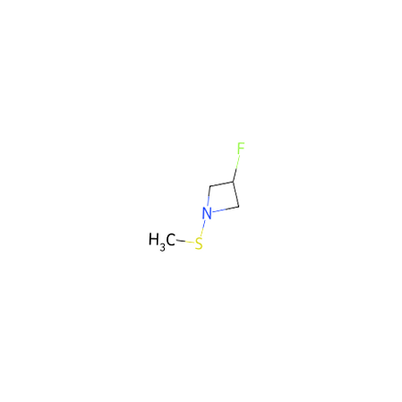 CSN1CC(F)C1